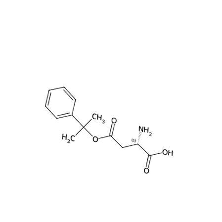 CC(C)(OC(=O)C[C@H](N)C(=O)O)c1ccccc1